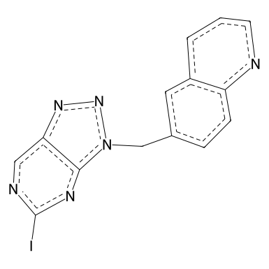 Ic1ncc2nnn(Cc3ccc4ncccc4c3)c2n1